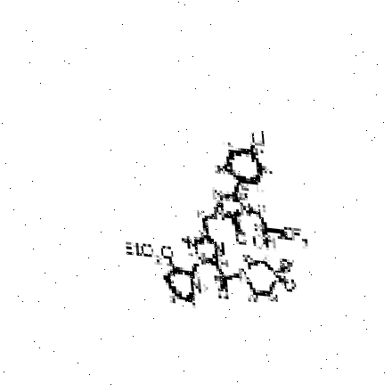 CCOC(=O)c1cccnc1-n1nc(Cn2nc(-c3ccc(Cl)cc3)n(CC(O)C(F)(F)F)c2=O)nc1C(=O)N1CCS(=O)(=O)CC1